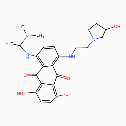 CC(Nc1ccc(NCCN2CCC(O)C2)c2c1C(=O)c1c(O)ccc(O)c1C2=O)N(C)C